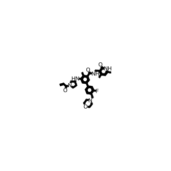 C=CC(=O)N1CCC(Nc2cc(-c3ccc(CN4CCOCC4)c(F)c3)cc(C(=O)NCc3c(C)cc(C)[nH]c3=O)c2C)C1